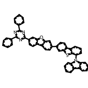 c1ccc(-c2nc(-c3ccccc3)nc(-c3ccc4c(c3)oc3cc(-c5ccc6c(c5)sc5c(-n7c8ccccc8c8ccccc87)cccc56)ccc34)n2)cc1